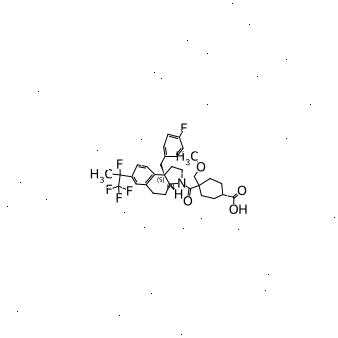 COCC1(C(=O)N2CC[C@@]3(Cc4ccc(F)cc4)c4ccc(C(C)(F)C(F)(F)F)cc4CC[C@@H]23)CCC(C(=O)O)CC1